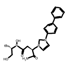 CC(C)(C)[C@@H](CO)N(O)C(=O)C[C@H](C(N)=O)N1C=CN(c2ccc(-c3ccccc3)cc2)C1